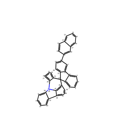 c1ccc2c(c1)-c1cc(-c3ccc4ccccc4c3)ccc1C21c2ccccc2-n2c3ccccc3c3cccc1c32